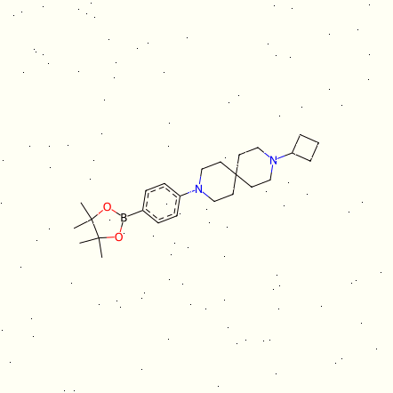 CC1(C)OB(c2ccc(N3CCC4(CC3)CCN(C3CCC3)CC4)cc2)OC1(C)C